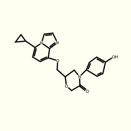 O=C1COC(COc2ccc(C3CC3)n3ccnc23)CN1c1ccc(O)cc1